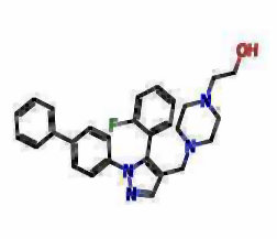 OCCN1CCN(Cc2cnn(-c3ccc(-c4ccccc4)cc3)c2-c2ccccc2F)CC1